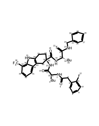 CCC(C)[C@H](NC(=O)Cc1ccccc1F)C(=O)N[C@]1(C(=O)NC(C(=S)NCc2ccccc2)[C@@H](C)CC)CCc2[nH]c3c(C(F)(F)F)cccc3c2C1